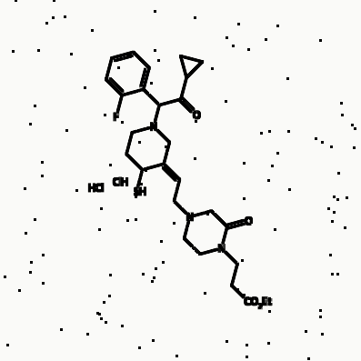 CCOC(=O)CCN1CCN(CC=C2CN(C(C(=O)C3CC3)c3ccccc3F)CCC2S)CC1=O.Cl.Cl